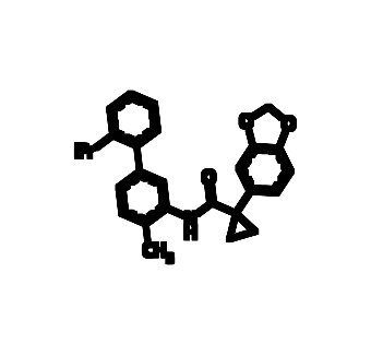 Cc1ccc(-c2ccccc2C(C)C)cc1NC(=O)C1(c2ccc3c(c2)OCO3)CC1